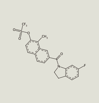 Cc1c(OS(=O)(=O)C(F)(F)F)ccc2ccc(C(=O)N3CCc4ccc(F)cc43)cc12